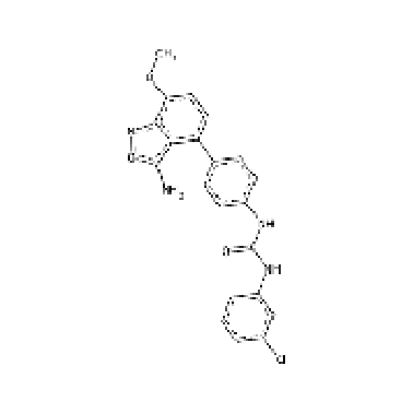 COc1ccc(-c2ccc(NC(=O)Nc3cccc(Cl)c3)cc2)c2c(N)onc12